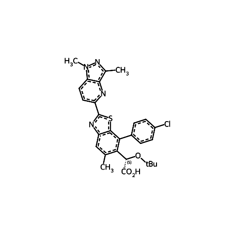 Cc1cc2nc(-c3ccc4c(n3)c(C)nn4C)sc2c(-c2ccc(Cl)cc2)c1[C@H](OC(C)(C)C)C(=O)O